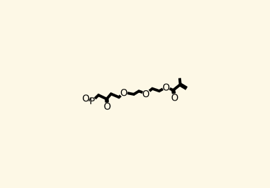 C=C(C)C(=O)OCCOCCOCCC(=O)CP=O